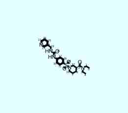 CCN(CC)C(=O)[C@H]1CCCN(S(=O)(=O)c2ccc(NC(=O)NCc3cccnc3)cc2)C1